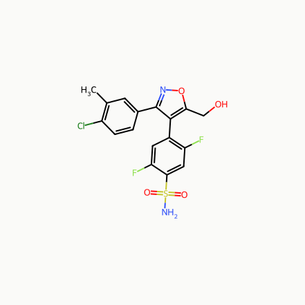 Cc1cc(-c2noc(CO)c2-c2cc(F)c(S(N)(=O)=O)cc2F)ccc1Cl